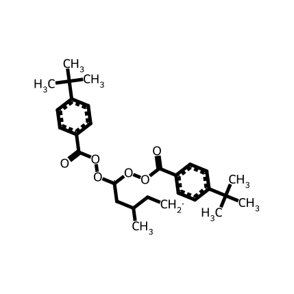 [CH2]CC(C)C[C](OOC(=O)c1ccc(C(C)(C)C)cc1)OOC(=O)c1ccc(C(C)(C)C)cc1